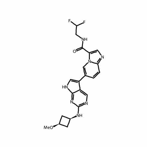 CO[C@H]1C[C@@H](Nc2ncc3c(-c4ccc5ncc(C(=O)NCC(F)F)n5c4)c[nH]c3n2)C1